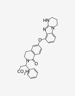 O=C(O)CC(c1ccccc1)N1CCc2cc(Oc3cccc4c3nc3n4CCCN3)ccc2C1=O